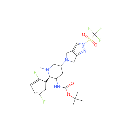 CN1CC(N2Cc3cn(S(=O)(=O)C(F)(F)F)nc3C2)CC(NC(=O)OC(C)(C)C)[C@H]1C1CC(F)=CC=C1F